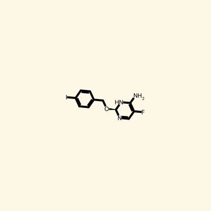 NC1=C(F)C=N[C@@H](OCc2ccc(I)cc2)N1